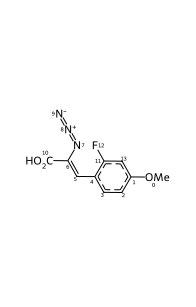 COc1ccc(/C=C(\N=[N+]=[N-])C(=O)O)c(F)c1